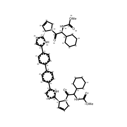 COC(=O)NC(C(=O)N1CC=C[C@H]1c1ncc(-c2ccc(-c3ccc(-c4cnc([C@@H]5C=CCN5C(=O)[C@@H](NC(=O)OC)C5CCCCC5)[nH]4)cc3)cc2)[nH]1)C1CCCCC1